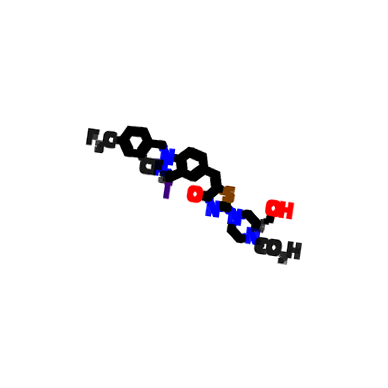 O=C1N=C(N2CCN(C(=O)O)[C@@H](CO)C2)SC1=Cc1ccc2c(c1)c(I)nn2Cc1ccc(C(F)(F)F)cc1C(F)(F)F